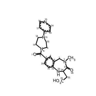 CN1Cc2cc(C(=O)N3CCN(c4ccncc4)CC3)ccc2NC(CC(=O)O)C1=O